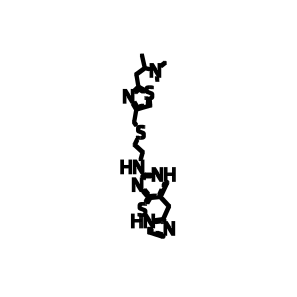 CC(Cc1nc(CSCCNc2nc(=S)c(Cc3ncc[nH]3)c[nH]2)cs1)N(C)C